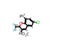 CC(C)c1cc(Cl)cc2c1OC(C(F)F)C(C(=O)O)=C2